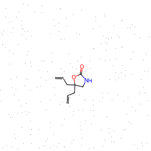 C=CCC1(CC=C)CNC(=O)O1